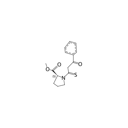 COC(=O)[C@@H]1CCCN1C(=S)CC(=O)c1ccccc1